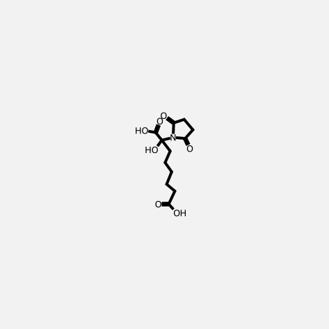 O=C(O)CCCCCC(O)(C(=O)O)N1C(=O)CCC1=O